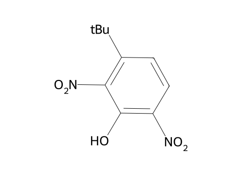 CC(C)(C)c1ccc([N+](=O)[O-])c(O)c1[N+](=O)[O-]